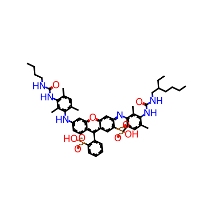 CCCCNC(=O)Nc1c(C)cc(C)c(Nc2ccc3c(-c4ccccc4S(=O)(=O)O)c4cc(S(=O)(=O)O)/c(=N\c5c(C)cc(C)c(NC(=O)NCC(CC)CCCC)c5C)cc-4oc3c2)c1C